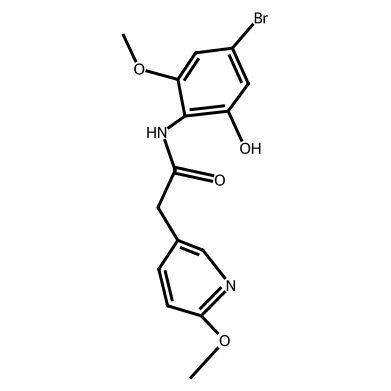 COc1ccc(CC(=O)Nc2c(O)cc(Br)cc2OC)cn1